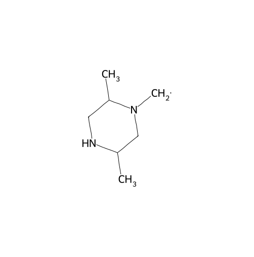 [CH2]N1CC(C)NCC1C